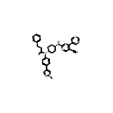 Cn1cc(-c2ccc(N(C(=O)CCc3ccccc3)[C@H]3CC[C@H](Nc4ncc(C#N)c(-c5cncnc5)n4)CC3)cc2)cn1